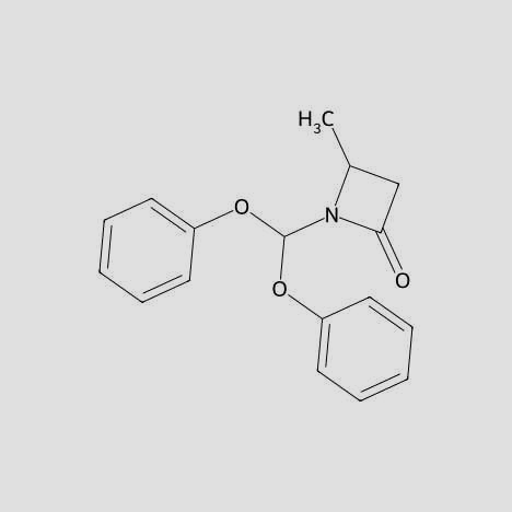 CC1CC(=O)N1C(Oc1ccccc1)Oc1ccccc1